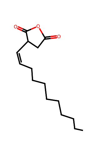 CCCCCCCCC/C=C\C1CC(=O)OC1=O